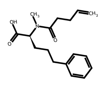 C=CCCC(=O)N(C)[C@@H](CCCc1ccccc1)C(=O)O